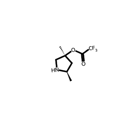 C[C@@H]1C[C@](C)(OC(=O)C(F)(F)F)CN1